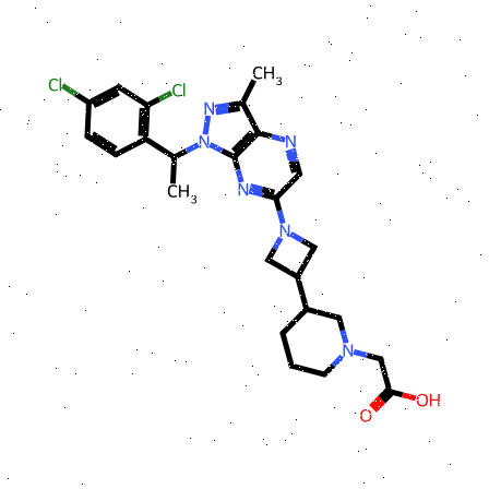 Cc1nn(C(C)c2ccc(Cl)cc2Cl)c2nc(N3CC(C4CCCN(CC(=O)O)C4)C3)cnc12